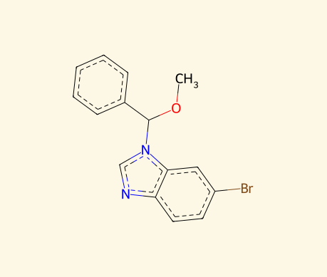 COC(c1ccccc1)n1cnc2ccc(Br)cc21